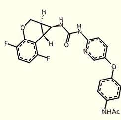 CC(=O)Nc1ccc(Oc2ccc(NC(=O)N[C@@H]3[C@@H]4COc5c(F)ccc(F)c5[C@H]43)nc2)cc1